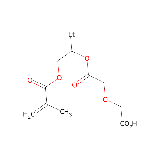 C=C(C)C(=O)OCC(CC)OC(=O)COCC(=O)O